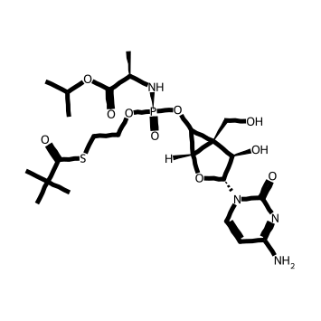 CC(C)OC(=O)[C@@H](C)N[P@@](=O)(OCCSC(=O)C(C)(C)C)OC1[C@H]2O[C@@H](n3ccc(N)nc3=O)[C@H](O)[C@@]12CO